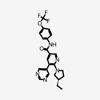 CC[C@@H]1CCN(c2ncc(C(=O)Nc3ccc(OC(F)(F)F)cc3)cc2-c2cncnc2)C1